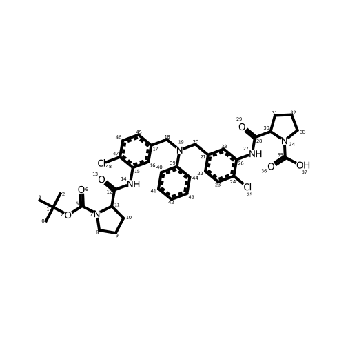 CC(C)(C)OC(=O)N1CCCC1C(=O)Nc1cc(CN(Cc2ccc(Cl)c(NC(=O)C3CCCN3C(=O)O)c2)c2ccccc2)ccc1Cl